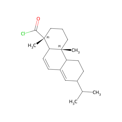 CC(C)C1C=C2C=CC3[C@](C)(CCC[C@@]3(C)C(=O)Cl)C2CC1